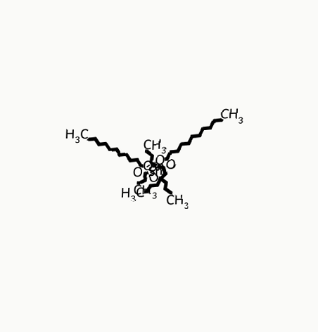 CCCCCCCCCCCC(=O)[O][Sn]1([CH2]CCC)[CH2]CC(CCCC)(CCCC)[O][Sn]1([CH2]CCC)[O]C(=O)CCCCCCCCCCC